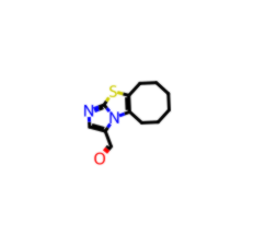 O=Cc1cnc2sc3c(n12)CCCCCC3